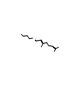 CCCC/N=C/C=C(\C)CCC=C(C)C